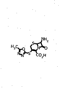 Cc1nnc(SC2=C(C(=O)O)N3C(=O)C(N)C3SC2)o1